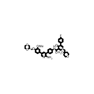 COc1cc(-c2cnc(N)c(-c3ccc(NC(=O)c4cn(CC5(C)CCOCC5)cc(-c5ccc(F)cc5)c4=O)cc3)c2)ccc1OC[C@H]1COCCO1